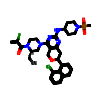 C=C(F)C(=O)N1CCN(c2nc(NC3CCN(S(C)(=O)=O)CC3)nc3c2COC(c2cccc4cccc(Cl)c24)C3)C[C@@H]1CC#N